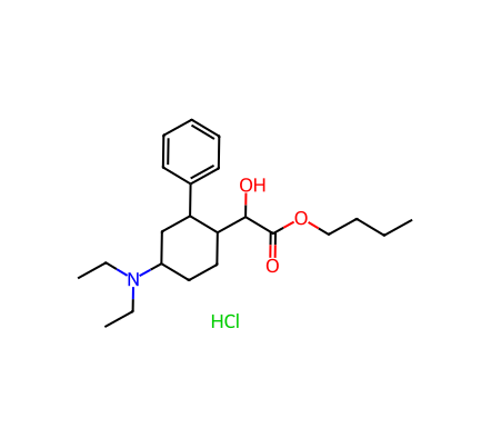 CCCCOC(=O)C(O)C1CCC(N(CC)CC)CC1c1ccccc1.Cl